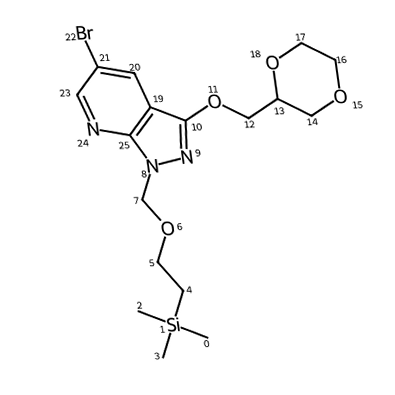 C[Si](C)(C)CCOCn1nc(OCC2COCCO2)c2cc(Br)cnc21